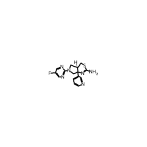 NC1=NC2(c3cccnc3)CN(c3ncc(F)cn3)C[C@H]2CS1